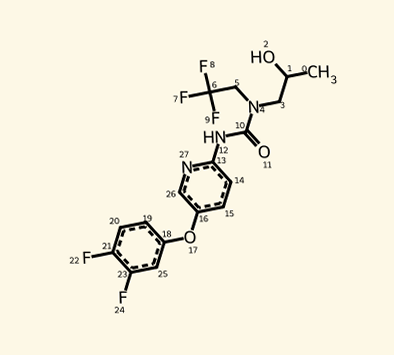 CC(O)CN(CC(F)(F)F)C(=O)Nc1ccc(Oc2ccc(F)c(F)c2)cn1